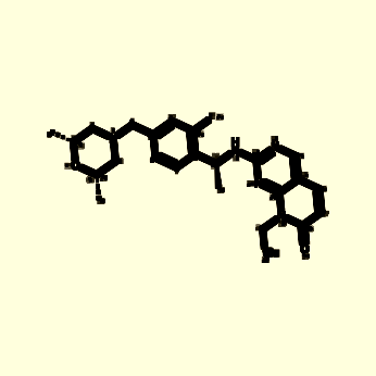 C[C@@H]1CN(Cc2ccc([C@H](C)Nc3ncc4ccc(=O)n(CC(C)(C)C)c4n3)c(F)c2)C[C@H](C)O1